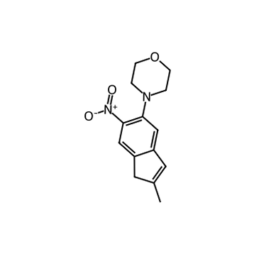 CC1=Cc2cc(N3CCOCC3)c([N+](=O)[O-])cc2C1